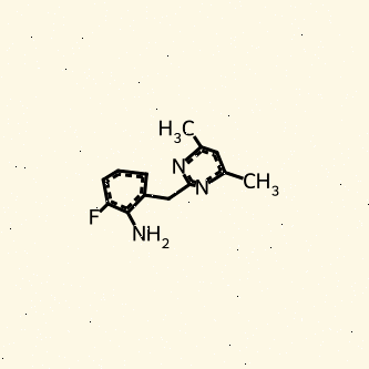 Cc1cc(C)nc(Cc2cccc(F)c2N)n1